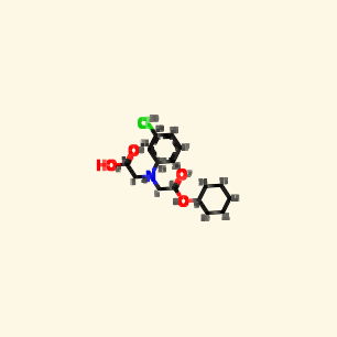 O=C(O)CN(CC(=O)OC1CCCCC1)c1cccc(Cl)c1